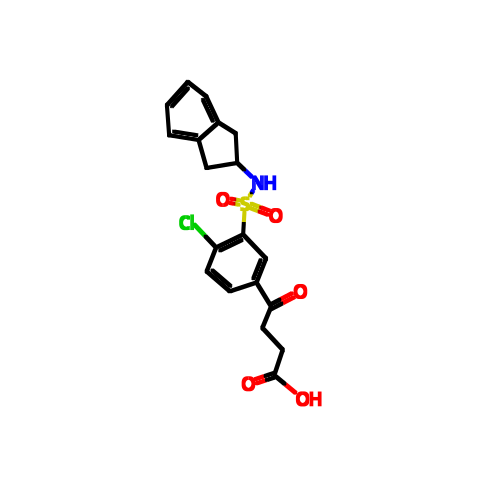 O=C(O)CCC(=O)c1ccc(Cl)c(S(=O)(=O)NC2Cc3ccccc3C2)c1